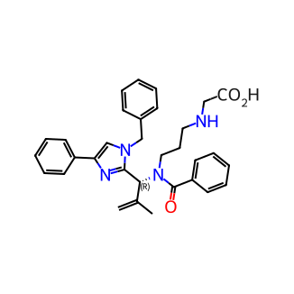 C=C(C)[C@H](c1nc(-c2ccccc2)cn1Cc1ccccc1)N(CCCNCC(=O)O)C(=O)c1ccccc1